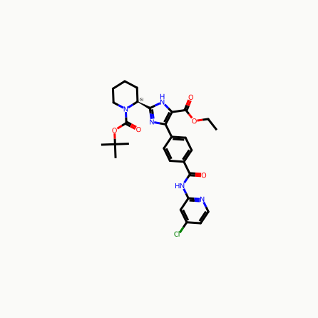 CCOC(=O)c1[nH]c([C@@H]2CCCCN2C(=O)OC(C)(C)C)nc1-c1ccc(C(=O)Nc2cc(Cl)ccn2)cc1